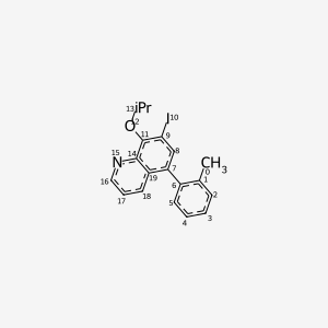 Cc1ccccc1-c1cc(I)c(OC(C)C)c2ncccc12